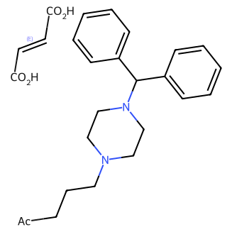 CC(=O)CCCN1CCN(C(c2ccccc2)c2ccccc2)CC1.O=C(O)/C=C/C(=O)O